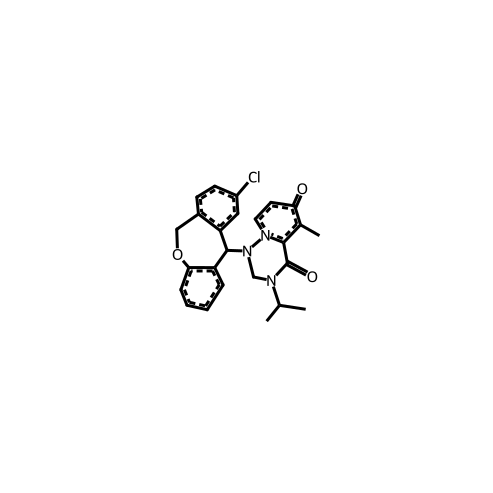 Cc1c2n(ccc1=O)N(C1c3cc(Cl)ccc3COc3ccccc31)CN(C(C)C)C2=O